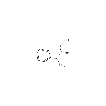 CN(C(=O)OO)c1ccccc1